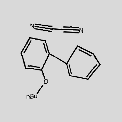 CCCCOc1ccccc1-c1ccccc1.N#CC#N